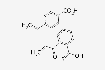 C=CC(=O)c1ccccc1C(O)=S.C=Cc1ccc(C(=O)O)cc1